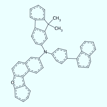 CC1(C)c2ccccc2-c2ccc(N(c3ccc(-c4cccc5ccccc45)cc3)c3ccc4c(ccc5oc6ccccc6c54)c3)cc21